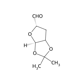 CC1(C)OC2C[C@@H](C=O)O[C@@H]2O1